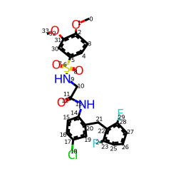 COc1ccc(S(=O)(=O)NCC(=O)Nc2ccc(Cl)cc2Cc2c(F)cccc2F)cc1OC